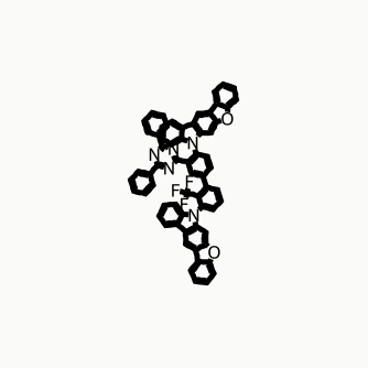 FC(F)(F)c1c(-c2ccc(-n3c4ccccc4c4cc5c(cc43)oc3ccccc35)c(-c3nc(-c4ccccc4)nc(-c4ccccc4)n3)c2)cccc1-n1c2ccccc2c2cc3c(cc21)oc1ccccc13